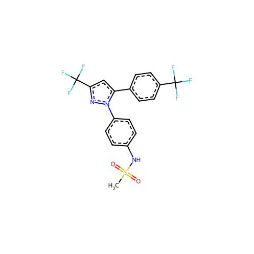 CS(=O)(=O)Nc1ccc(-n2nc(C(F)(F)F)cc2-c2ccc(C(F)(F)F)cc2)cc1